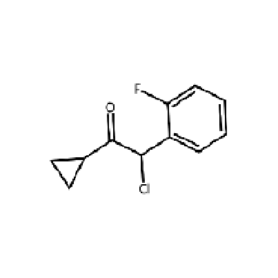 O=C(C1CC1)C(Cl)c1ccccc1F